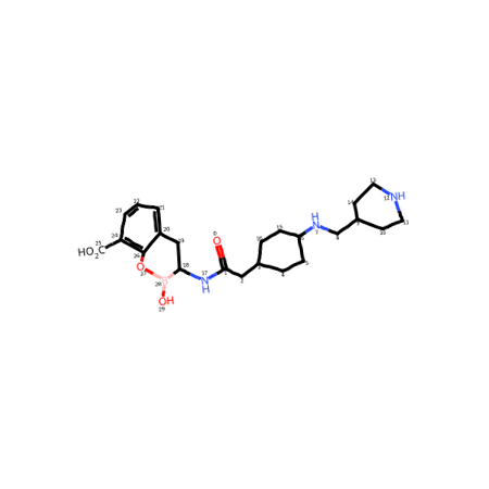 O=C(CC1CCC(NCC2CCNCC2)CC1)NC1Cc2cccc(C(=O)O)c2OB1O